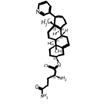 C[C@]12CC[C@H](OC(=O)[C@@H](N)CCC(N)=O)CC1=CC[C@@H]1[C@@H]2CC[C@]2(C)C(c3cccnc3)=CC[C@@H]12